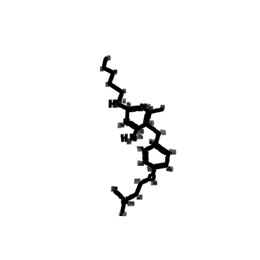 CCCCCNc1nc(C)c(Cc2ccc(OCCN(C)C)cc2)c(N)n1